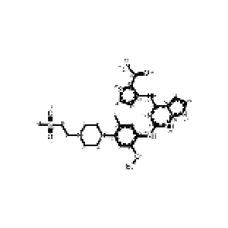 CCOc1cc(N2CCN(CCS(C)(=O)=O)CC2)c(C)cc1Nc1nc(Nc2ccsc2C(N)=O)c2ccnc-2[nH]1